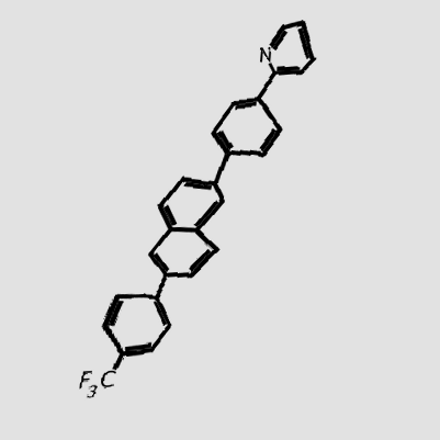 FC(F)(F)c1ccc(-c2ccc3cc(-c4ccc(-c5ccccn5)cc4)ccc3c2)cc1